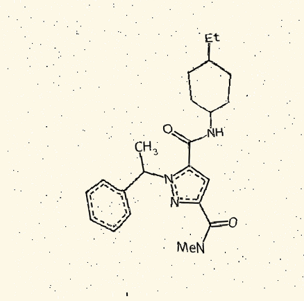 CCC1CCC(NC(=O)c2cc(C(=O)NC)nn2C(C)c2ccccc2)CC1